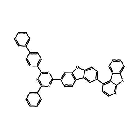 c1ccc(-c2ccc(-c3nc(-c4ccccc4)nc(-c4ccc5c(c4)oc4ccc(-c6cccc7sc8ccccc8c67)cc45)n3)cc2)cc1